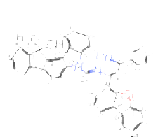 CC1(C)c2ccccc2-c2ccc3c(c21)c1ccccc1n3/C=N/C(=C\C(=N)c1ccccc1)c1cccc2c1oc1ccccc12